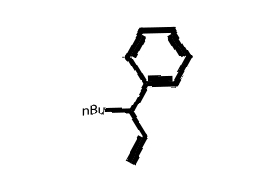 C=CC(CCCC)c1[c]cccc1